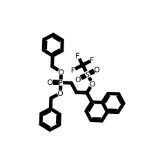 O=P(CCC(OS(=O)(=O)C(F)(F)F)c1cccc2ccccc12)(OCc1ccccc1)OCc1ccccc1